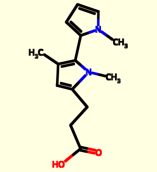 Cc1cc(CCC(=O)O)n(C)c1-c1cccn1C